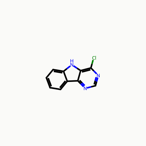 Clc1ncnc2c1[nH]c1ccccc12